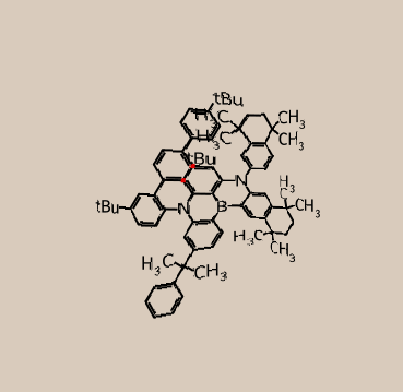 CC(C)(C)c1ccc(-c2ccc(-c3cc(C(C)(C)C)ccc3N3c4cc(C(C)(C)c5ccccc5)ccc4B4c5cc6c(cc5N(c5ccc7c(c5)C(C)(C)CCC7(C)C)c5cc(C(C)(C)C)cc3c54)C(C)(C)CCC6(C)C)cc2)cc1